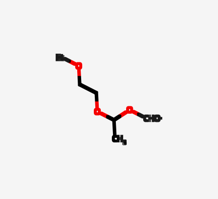 CCOCCOC(C)O[C]=O